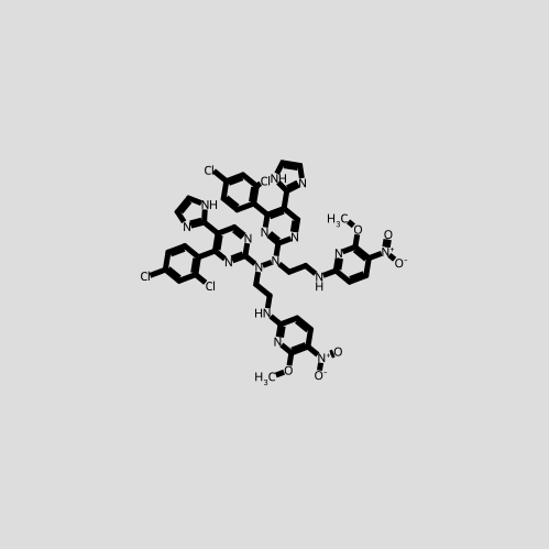 COc1nc(NCCN(c2ncc(-c3ncc[nH]3)c(-c3ccc(Cl)cc3Cl)n2)N(CCNc2ccc([N+](=O)[O-])c(OC)n2)c2ncc(-c3ncc[nH]3)c(-c3ccc(Cl)cc3Cl)n2)ccc1[N+](=O)[O-]